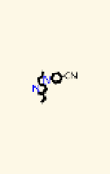 C=Cc1cnc2cc(C)n(-c3ccc(C#N)cc3)c2c1